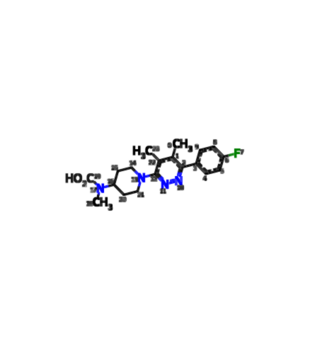 Cc1c(-c2ccc(F)cc2)nnc(N2CCC(N(C)C(=O)O)CC2)c1C